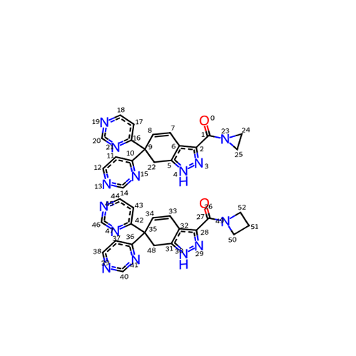 O=C(c1n[nH]c2c1C=CC(c1ccncn1)(c1ccncn1)C2)N1CC1.O=C(c1n[nH]c2c1C=CC(c1ccncn1)(c1ccncn1)C2)N1CCC1